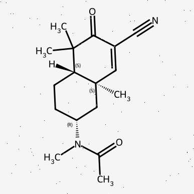 CC(=O)N(C)[C@@H]1CC[C@@H]2C(C)(C)C(=O)C(C#N)=C[C@@]2(C)C1